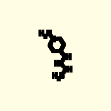 BBBBC1CCN(N)CC1